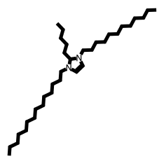 CCCCCCCCCCCCCCN1C=CN(CCCCCCCCCCCC)C1CCCCC